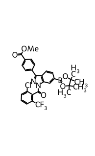 COC(=O)c1ccc(-c2nn(C(=O)c3c(Cl)cccc3C(F)(F)F)c3cc(B4OC(C)(C)C(C)(C)O4)ccc23)cc1